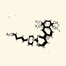 CC(=O)OCCCCN1CCN(c2nccc(-c3ccc4c(c3)C(C)(C)CCC4(C)C)n2)CC1